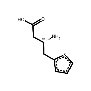 N[C@@H](CC(=O)O)Cc1cccs1